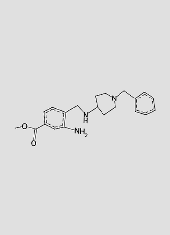 COC(=O)c1ccc(CNC2CCN(Cc3ccccc3)CC2)c(N)c1